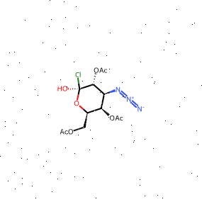 CC(=O)OC[C@H]1O[C@@](O)(Cl)[C@H](OC(C)=O)[C@@H](N=[N+]=[N-])[C@H]1OC(C)=O